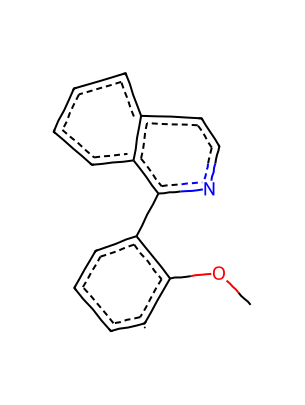 COc1[c]cccc1-c1nccc2ccccc12